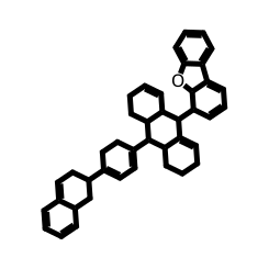 C1=CC2=CCC(C3=CC=C(C4C5CCCC=C5C(C5C=CC=C6c7ccccc7OC65)C5C=CCCC54)CC3)CC2C=C1